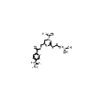 NS(=O)(=O)c1ccc(C(=O)OCC(CON(O)O)OC(=O)CCCON(O)O)cc1